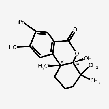 CC(C)c1cc2c(cc1O)[C@@]1(C)CCCC(C)(C)[C@@]1(O)OC2=O